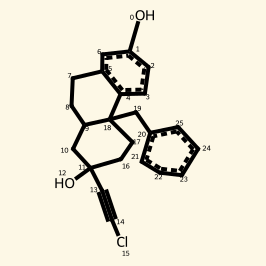 Oc1ccc2c(c1)CCC1CC(O)(C#CCl)CCC21Cc1ccccc1